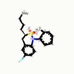 CNCCC[C@@H]1Cc2cc(F)ccc2N(c2ccccc2C)S1(=O)=O